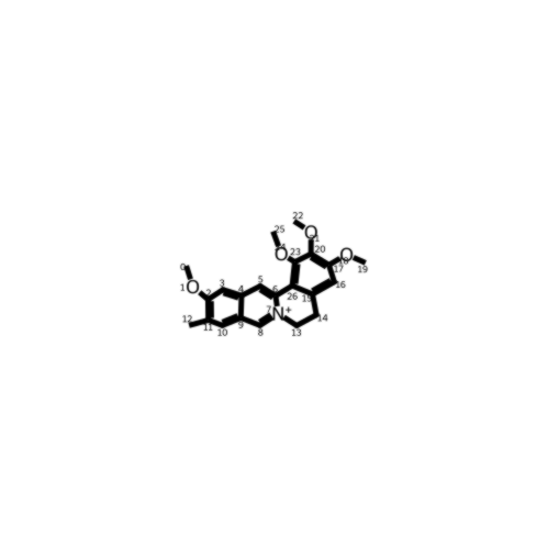 COc1cc2cc3[n+](cc2cc1C)CCc1cc(OC)c(OC)c(OC)c1-3